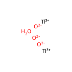 O.[O-2].[O-2].[O-2].[Tl+3].[Tl+3]